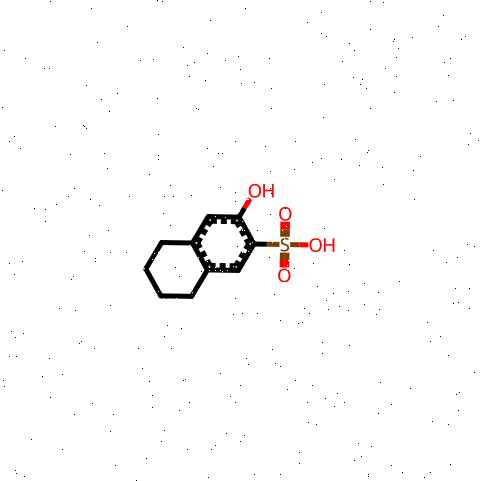 O=S(=O)(O)c1cc2c(cc1O)CCCC2